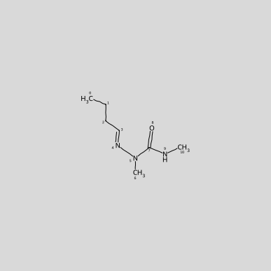 CCCC=NN(C)C(=O)NC